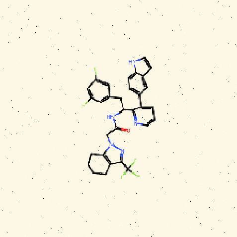 O=C(Cn1nc(C(F)(F)F)c2c1CCCC2)N[C@@H](Cc1cc(F)cc(F)c1)c1ncccc1-c1ccc2[nH]ccc2c1